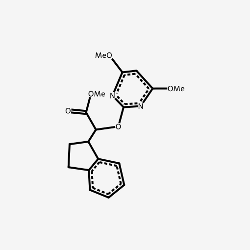 COC(=O)C(Oc1nc(OC)cc(OC)n1)C1CCc2ccccc21